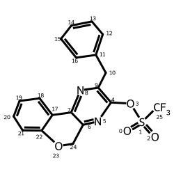 O=S(=O)(Oc1nc2c(nc1Cc1ccccc1)-c1ccccc1OC2)C(F)(F)F